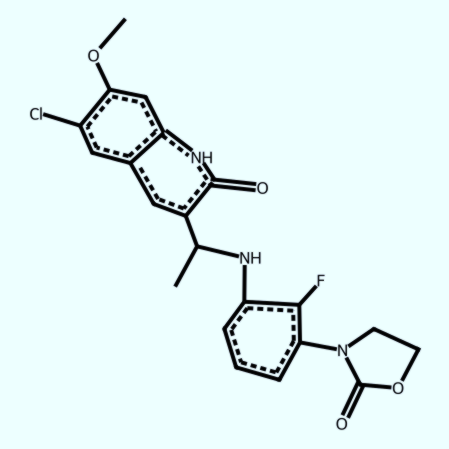 COc1cc2[nH]c(=O)c(C(C)Nc3cccc(N4CCOC4=O)c3F)cc2cc1Cl